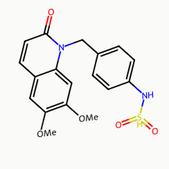 COc1cc2ccc(=O)n(Cc3ccc(N[SH](=O)=O)cc3)c2cc1OC